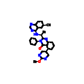 CCOc1ncc(-c2cccc3nc([C@H](CC)Nc4ncnc5ccc(C#N)cc45)n(-c4ccccc4)c(=O)c23)cn1